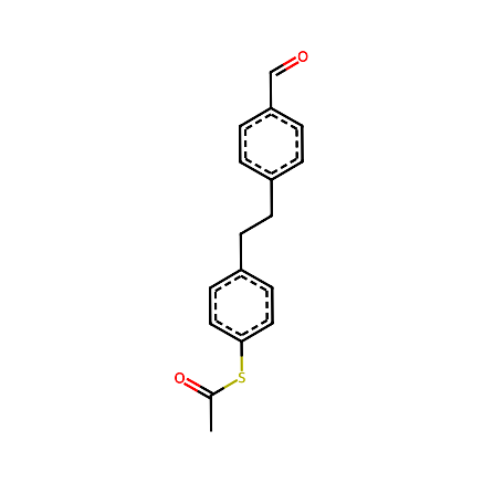 CC(=O)Sc1ccc(CCc2ccc(C=O)cc2)cc1